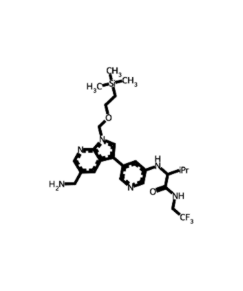 CC(C)C(Nc1cncc(-c2cn(COCC[Si](C)(C)C)c3ncc(CN)cc23)c1)C(=O)NCC(F)(F)F